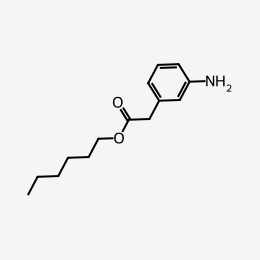 CCCCCCOC(=O)Cc1cccc(N)c1